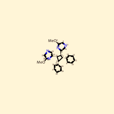 COc1cncc([C@H]2[C@H](c3ccccc3)[C@H](c3ccccc3)[C@@H]2c2cncc(OC)n2)n1